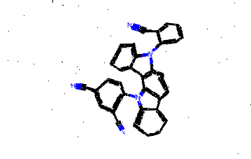 N#Cc1ccc(-n2c3ccccc3c3ccc4c(c5ccccc5n4-c4ccccc4C#N)c32)c(C#N)c1